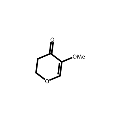 COC1=COCCC1=O